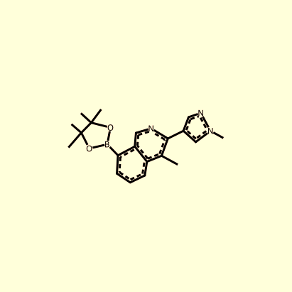 Cc1c(-c2cnn(C)c2)ncc2c(B3OC(C)(C)C(C)(C)O3)cccc12